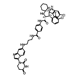 O=C1CCN(c2cnc3cc(NCCCNC(=O)c4ccc(NC(=O)[C@@H]5NC6(CCCCC6)[C@@]6(C(=O)Nc7cc(Cl)ccc76)[C@H]5c5cccc(Cl)c5F)cc4)ccn23)C(=O)N1